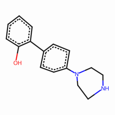 Oc1ccccc1-c1ccc(N2CCNCC2)cc1